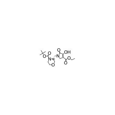 CCOC(=O)C1=C(O)C(=O)N(C[C@@H]2COCCN2C(=O)OC(C)(C)C)C1